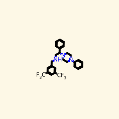 FC(F)(F)c1cc(CNCC(c2ccccc2)N2CCN(c3ccccc3)CC2)cc(C(F)(F)F)c1